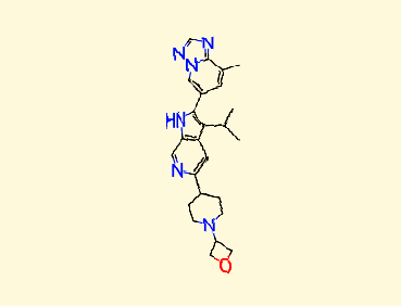 Cc1cc(-c2[nH]c3cnc(C4CCN(C5COC5)CC4)cc3c2C(C)C)cn2ncnc12